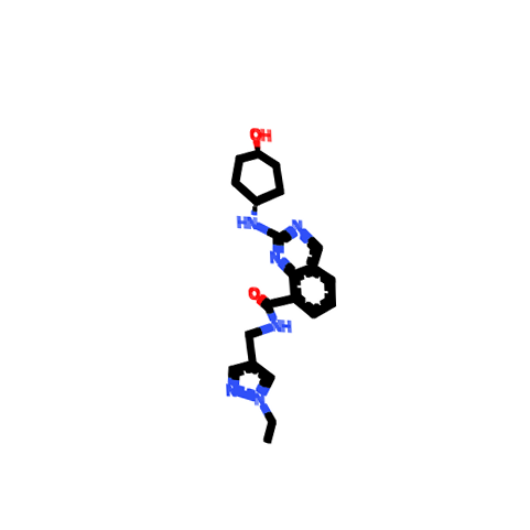 CCn1cc(CNC(=O)c2cccc3cnc(N[C@H]4CC[C@H](O)CC4)nc23)cn1